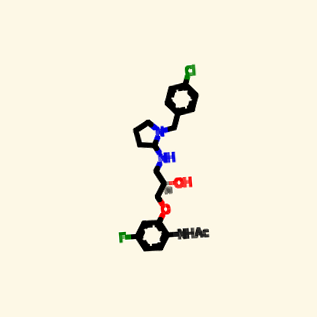 CC(=O)Nc1ccc(F)cc1OC[C@@H](O)CNC1CCCN1Cc1ccc(Cl)cc1